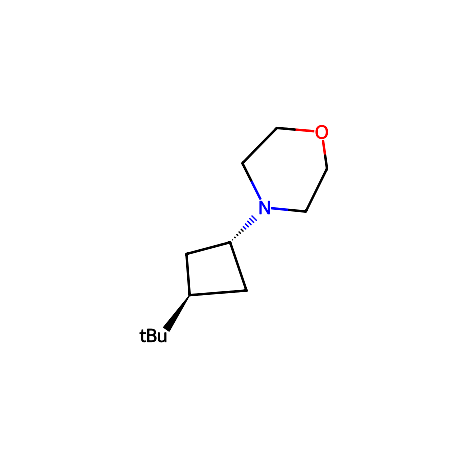 CC(C)(C)[C@H]1C[C@H](N2CCOCC2)C1